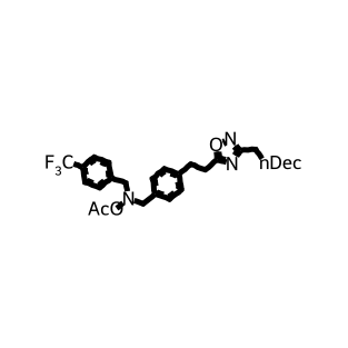 CCCCCCCCCCCc1noc(CCc2ccc(CN(Cc3ccc(C(F)(F)F)cc3)OC(C)=O)cc2)n1